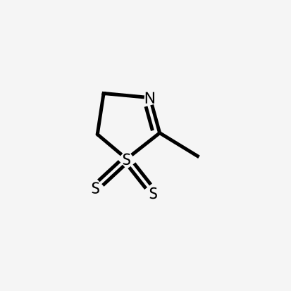 CC1=NCCS1(=S)=S